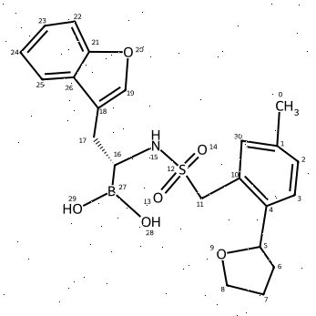 Cc1ccc(C2CCCO2)c(CS(=O)(=O)N[C@@H](Cc2coc3ccccc23)B(O)O)c1